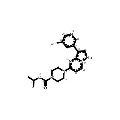 CC(C)OC(=O)N1CCN(c2ccn3ncc(-c4cncc(F)c4)c3n2)CC1